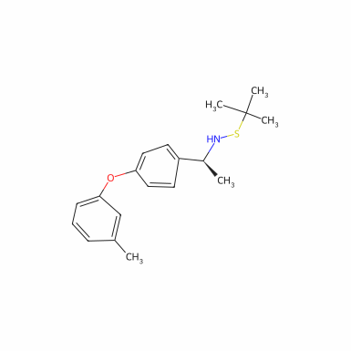 Cc1cccc(Oc2ccc([C@H](C)NSC(C)(C)C)cc2)c1